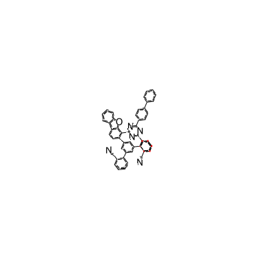 N#Cc1ccccc1-c1cc(-c2ccccc2C#N)cc(-c2ccc3c(oc4ccccc43)c2-c2nc(-c3ccccc3)nc(-c3ccc(-c4ccccc4)cc3)n2)c1